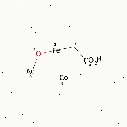 CC(=O)[O][Fe][CH2]C(=O)O.[Co]